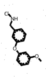 COc1cccc(Oc2cccc(CNCl)c2)c1